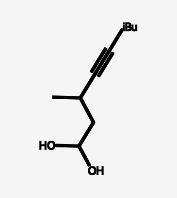 CCC(C)C#CC(C)CC(O)O